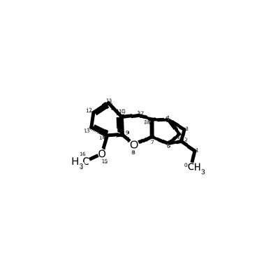 CCC1CC2CC1C1Oc3c(cccc3OC)CC21